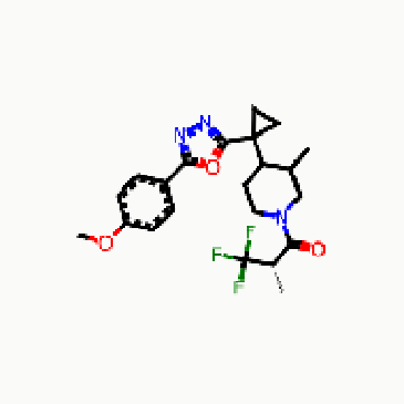 COc1ccc(-c2nnc(C3(C4CCN(C(=O)[C@H](C)C(F)(F)F)CC4C)CC3)o2)cc1